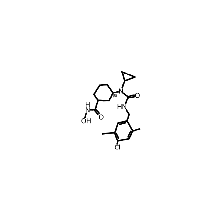 Cc1cc(CNC(=O)N(C2CC2)[C@@H]2CCCC(C(=O)NO)C2)c(C)cc1Cl